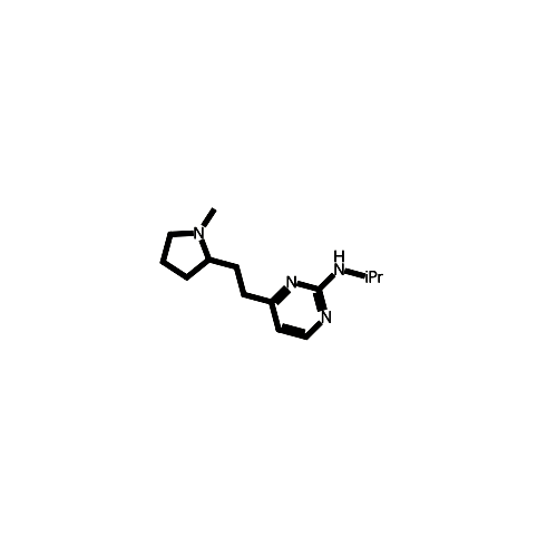 CC(C)Nc1nccc(CCC2CCCN2C)n1